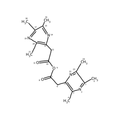 Cc1nc(C)c(CC(=O)OC(=O)Cc2nc(C)c(C)nc2C)nc1C